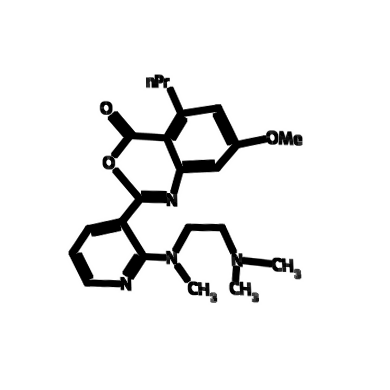 CCCc1cc(OC)cc2nc(-c3cccnc3N(C)CCN(C)C)oc(=O)c12